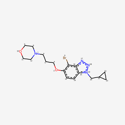 Brc1c(OCCCN2CCOCC2)ccc2c1nnn2CC1CC1